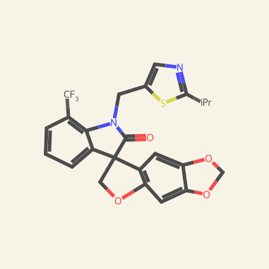 CC(C)c1ncc(CN2C(=O)C3(COc4cc5c(cc43)OCO5)c3cccc(C(F)(F)F)c32)s1